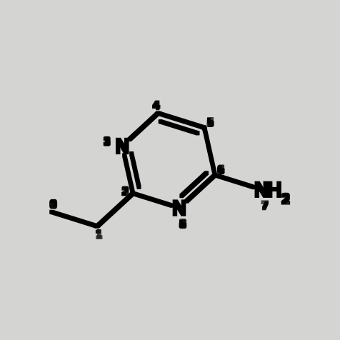 CCc1nccc(N)n1